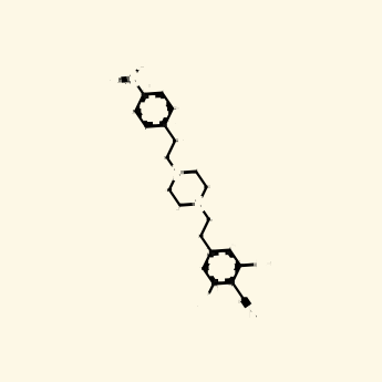 N#Cc1c(F)cc(CCN2CCN(CCc3ccc([N+](=O)[O-])cc3)CC2)cc1F